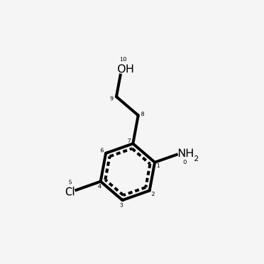 Nc1ccc(Cl)cc1CCO